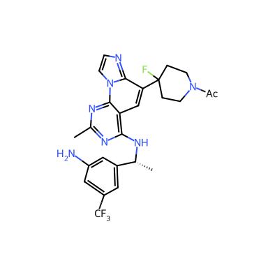 CC(=O)N1CCC(F)(c2cc3c(N[C@H](C)c4cc(N)cc(C(F)(F)F)c4)nc(C)nc3n3ccnc23)CC1